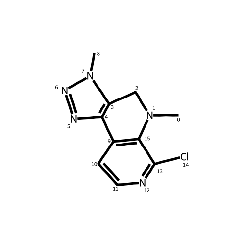 CN1Cc2c(nnn2C)-c2ccnc(Cl)c21